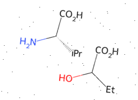 CC(C)[C@H](N)C(=O)O.CCC(O)C(=O)O